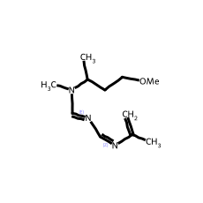 C=C(C)/N=C\N=C\N(C)C(C)CCOC